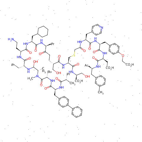 CCC(C)[C@H](NC(=O)[C@H](Cc1ccc(-c2ccccc2)cc1)NC(=O)[C@@H](C)C(C)C)C(=O)N(C)[C@@H](C)C(O)N[C@H](CC(C)C)C(=O)N[C@@H](CCN)C(=O)N[C@@H](CC1CCCCC1)C(=O)N[C@H](C(=O)CC[C@@H](CO)C(=O)N[C@@H](CSCC(=O)N[C@@H](Cc1ccncc1)C(=O)N[C@@H](Cc1ccc(OCC(=O)O)cc1)C(=O)N[C@@H](CC(=O)O)C(=O)N[C@@H](Cc1cccc(C)c1)C(C)=O)C(=O)N[C@@H](CO)C(=O)O)C(C)C